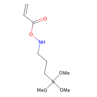 C=CC(=O)ONCCC[Si](OC)(OC)OC